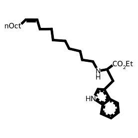 CCCCCCCC/C=C\CCCCCCCCNC(Cc1c[nH]c2ccccc12)C(=O)OCC